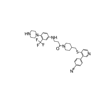 N#Cc1ccc(-c2cnccc2SCC2CCN(C(=O)CCNc3ccc(N4CCNCC4)c(C(F)(F)F)c3)CC2)cc1